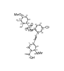 C=C(O)c1ncc(C#Cc2cc(Cl)ccc2NS(=O)(=O)c2ccc(OC)c(C)c2C)cc1NC